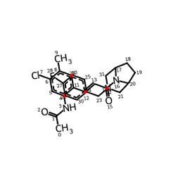 CC(=O)Nc1cc(Cl)c(C)cc1C=CC(=O)N1C2CCC1CN(Cc1ccc(F)cc1)C2